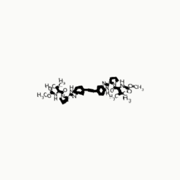 COC(=O)N[C@H](C(=O)N1CC=C[C@H]1c1nc2cc(C#Cc3ccc4[nH]c([C@@H]5CCCN5C(=O)[C@@H](NC(=O)OC)C(C)C)nc4c3)ccc2[nH]1)C(C)C